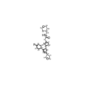 O=C(Cc1csc(-c2cn(C3CCOC3)nc2-c2ccc(F)cc2)n1)NCC1CCOCC1